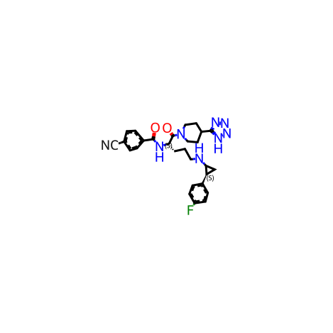 N#Cc1ccc(C(=O)N[C@@H](CCCNC2C[C@H]2c2ccc(F)cc2)C(=O)N2CCC(c3nnn[nH]3)CC2)cc1